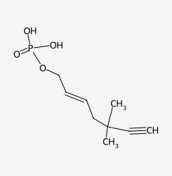 C#CC(C)(C)CC=CCOP(=O)(O)O